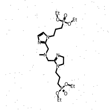 CCOP(=O)(CCCN1CCN=C1CN(C)Cc1nccn1CCCP(=O)(OCC)OCC)OCC